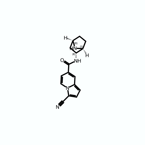 N#Cc1ccc2cc(C(=O)N[C@@H]3C[C@H]4CC[C@@H]3N4)ccn12